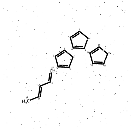 C1=CCC=C1.C1=CCC=C1.C1=CCC=C1.C=CC=CC